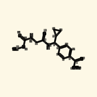 COC(=O)c1ccc(C(NC(=O)CNC(=O)OC(C)(C)C)C2CC2)cc1